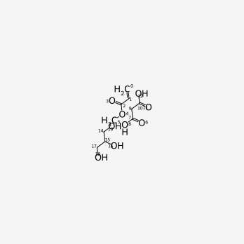 C=CC(=O)OC.O=C(O)CC(=O)O.OCC(O)CO